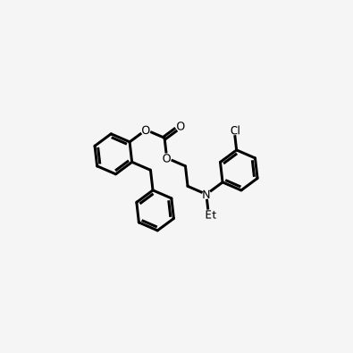 CCN(CCOC(=O)Oc1ccccc1Cc1ccccc1)c1cccc(Cl)c1